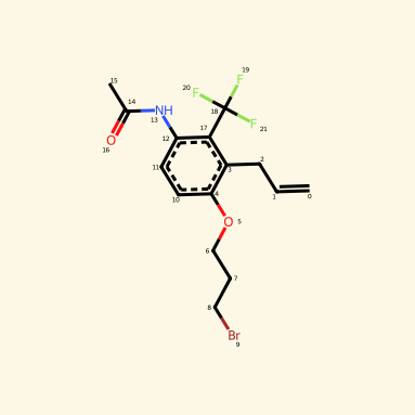 C=CCc1c(OCCCBr)ccc(NC(C)=O)c1C(F)(F)F